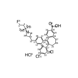 Cl.[2H]C([2H])(CCF)N1CC(Cc2ccc(C3=C(c4ccc(Cl)cc4Cl)CCCc4cc(C(=O)O)ccc43)cc2)C1